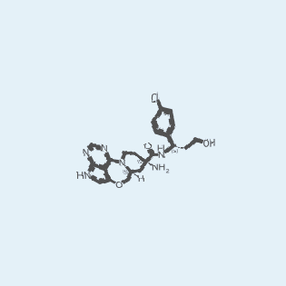 N[C@@]1(C(=O)N[C@@H](CCO)c2ccc(Cl)cc2)CCN2c3ncnc4[nH]cc(c34)OC[C@@H]2C1